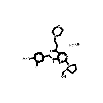 COc1ccc(CNc2nc(N3CCC[C@H]3CO)ncc2C(=O)CCN2CCOCC2)cc1Cl.Cl.Cl